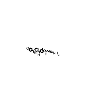 COc1ccc(-c2cnc3c(Nc4ccc(SNCCOCCN)c(C)c4)nccn23)cc1